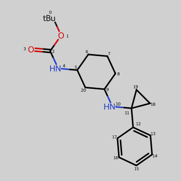 CC(C)(C)OC(=O)NC1CCCC(NC2(c3ccccc3)CC2)C1